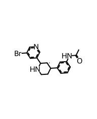 CC(=O)Nc1cccc(C2[CH]C(c3cncc(Br)c3)NCC2)c1